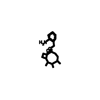 CC1CCC(OCc2ccccc2N)C2(O)CCC2C(C)C1C